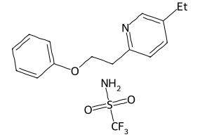 CCc1ccc(CCOc2ccccc2)nc1.NS(=O)(=O)C(F)(F)F